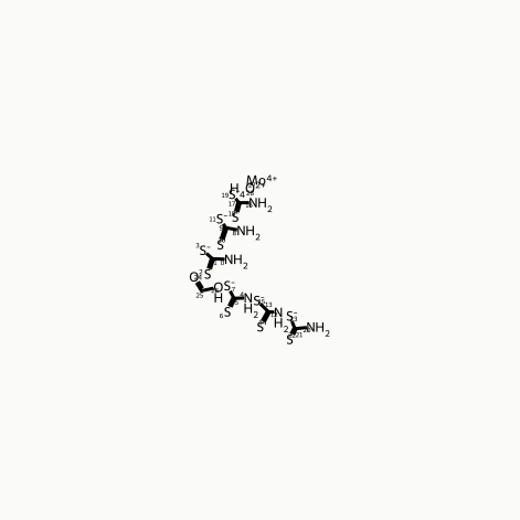 NC(=S)[S-].NC(=S)[S-].NC(=S)[S-].NC(=S)[S-].NC(=S)[S-].NC(=S)[S-].O=CO.[Mo+4].[OH4+2]